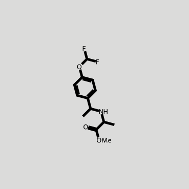 COC(=O)C(C)NC(C)c1ccc(OC(F)F)cc1